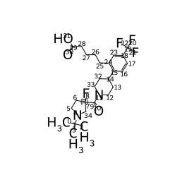 CC(C)(C)N1CC[C@](F)(C(=O)N2CCC(c3ccc(C(F)(F)F)cc3CCCCC(=O)O)CC2)C1